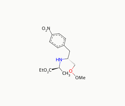 CCOC(=O)[C@H](C)N[C@@H](COOC)Cc1ccc([N+](=O)[O-])cc1